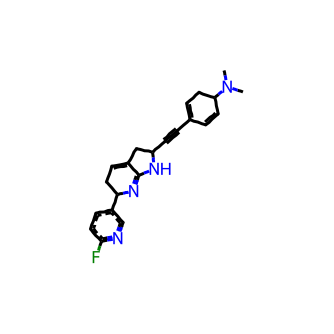 CN(C)C1C=CC(C#CC2CC3=CCC(c4ccc(F)nc4)N=C3N2)=CC1